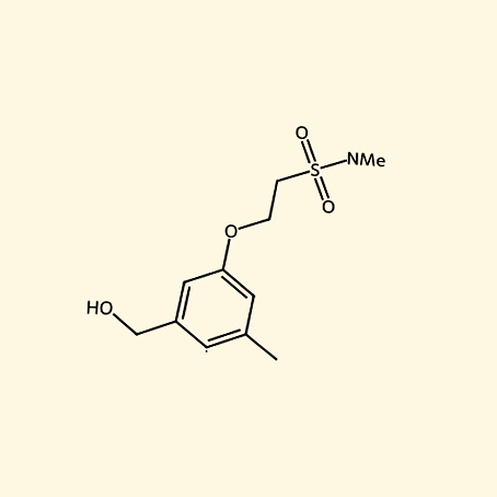 CNS(=O)(=O)CCOc1cc(C)[c]c(CO)c1